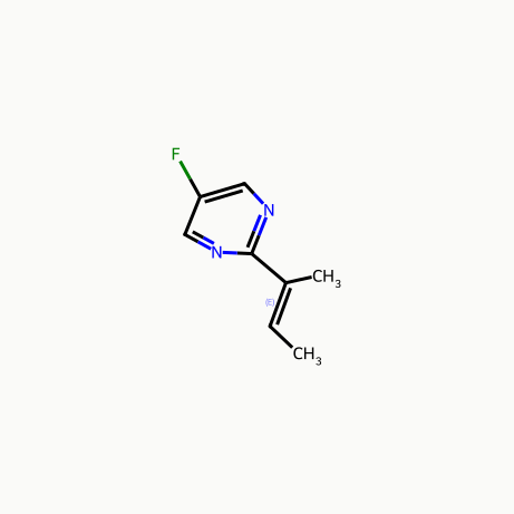 C/C=C(\C)c1ncc(F)cn1